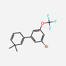 CC1(C)C=CCC(c2cc(Br)cc(OC(F)(F)F)c2)=C1